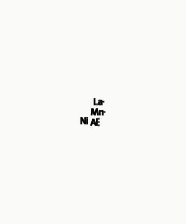 [Al].[La].[Mn].[Ni]